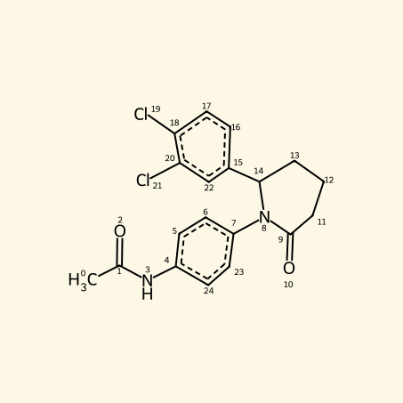 CC(=O)Nc1ccc(N2C(=O)CCCC2c2ccc(Cl)c(Cl)c2)cc1